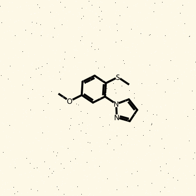 COc1ccc(SC)c(-n2cccn2)c1